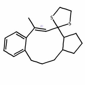 C/C1=C\C2(SCCS2)C2CCCC2CCCc2ccccc21